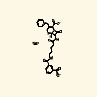 O=C(CCCCNC(=O)c1cccc(C(=O)[O-])c1)N[C@@H]1C(=O)N2C(C(=O)[O-])=C(C[n+]3ccccc3)CS[C@@H]12.[Na+]